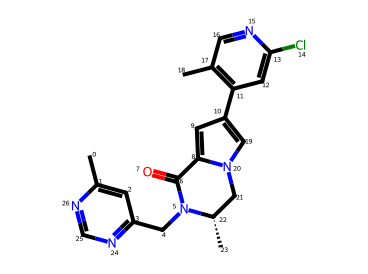 Cc1cc(CN2C(=O)c3cc(-c4cc(Cl)ncc4C)cn3C[C@@H]2C)ncn1